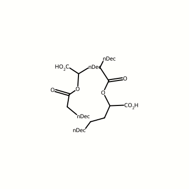 CCCCCCCCCCCC(=O)OC(CCCCCCCCCC)C(=O)O.CCCCCCCCCCCCC(OC(=O)CCCCCCCCCCC)C(=O)O